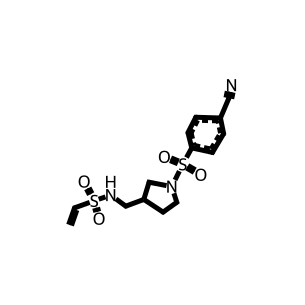 C=CS(=O)(=O)NCC1CCN(S(=O)(=O)c2ccc(C#N)cc2)C1